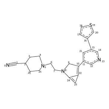 N#CC1CCN(CCN2CC(c3cncc(-c4ccsc4)c3)=C3C=C32)CC1